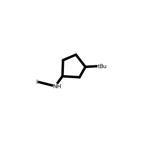 CC(C)(C)C1CCC(NI)C1